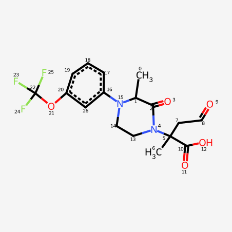 CC1C(=O)N(C(C)(CC=O)C(=O)O)CCN1c1cccc(OC(F)(F)F)c1